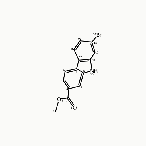 COC(=O)c1ccc2c(c1)[nH]c1cc(Br)ccc12